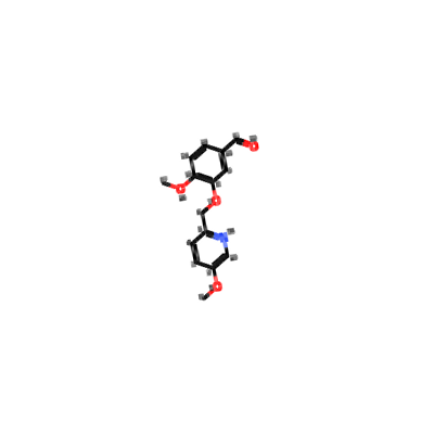 COc1ccc(COc2cc(C=O)ccc2OC)nc1